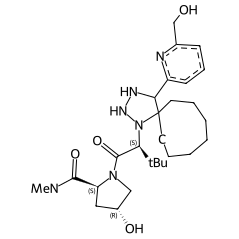 CNC(=O)[C@@H]1C[C@@H](O)CN1C(=O)[C@@H](N1NNC(c2cccc(CO)n2)C12CCCCCCC2)C(C)(C)C